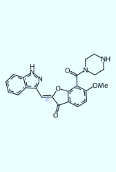 COc1ccc2c(c1C(=O)N1CCNCC1)O/C(=C\c1n[nH]c3ccccc13)C2=O